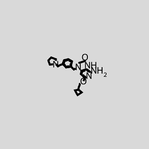 Nc1nc(OCC2CCC2)cc2c1NC(=O)CN2Cc1cccc(CN2CCCC2)c1